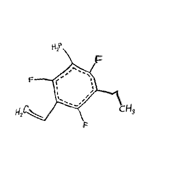 C=Cc1c(F)c(P)c(F)c(CC)c1F